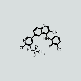 CCc1cccc(Nc2c(C#N)cnc3ccc(-c4cnc(Cl)c(NS(C)(=O)=O)c4)cc23)c1F